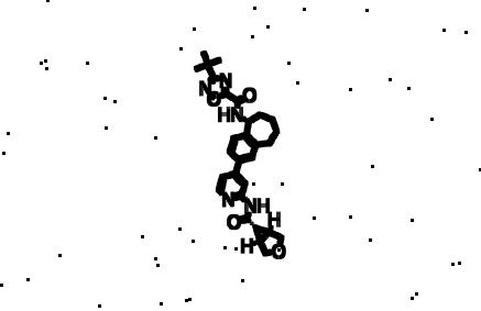 CC(C)(C)c1noc(C(=O)N[C@H]2CCCCc3cc(-c4ccnc(NC(=O)[C@@H]5[C@@H]6COC[C@@H]65)c4)ccc32)n1